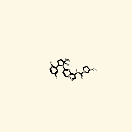 BC1(B)CCC(c2cc(F)ccc2F)N1c1ccn2ncc(NC(=O)N3CC[C@H](O)C3)c2n1